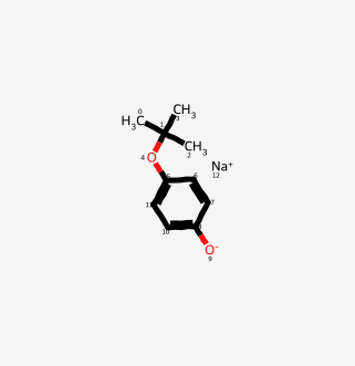 CC(C)(C)Oc1ccc([O-])cc1.[Na+]